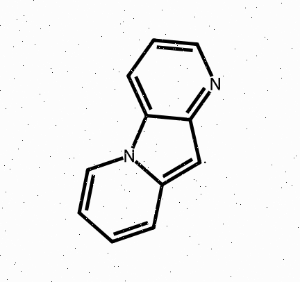 [c]1c2ncccc2n2ccccc12